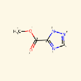 COC(=O)C1=NC=N[N]1